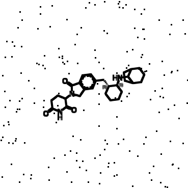 O=C1CCC(N2Cc3cc(C[C@H]4CCCC[C@@H]4NC4C5CCCC4CC5)ccc3C2=O)C(=O)N1